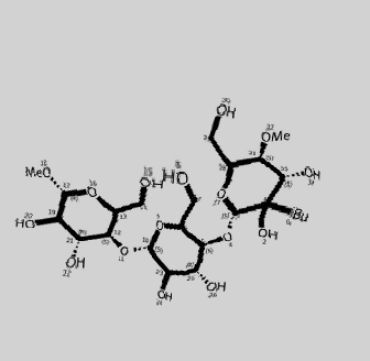 CCC(C)C1(O)[C@H](O[C@@H]2C(CO)O[C@@H](O[C@@H]3C(CO)O[C@@H](OC)C(O)[C@H]3O)C(O)[C@H]2O)OC(CO)[C@@H](OC)[C@@H]1O